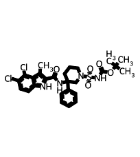 Cc1c(C(=O)NC2(c3ccccc3)CCCN(S(=O)(=O)NC(=O)OC(C)(C)C)C2)[nH]c2ccc(Cl)c(Cl)c12